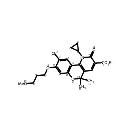 CCOC(=O)c1cc2c(n(C3CC3)c1=O)-c1cc(Cl)c(OCCCOC)cc1OC2(C)C